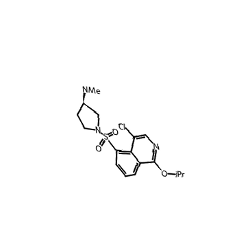 CN[C@@H]1CCN(S(=O)(=O)c2cccc3c(OC(C)C)ncc(Cl)c23)C1